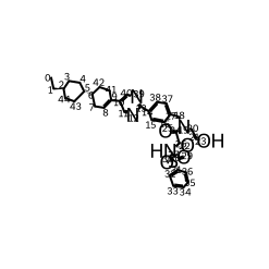 CC[C@H]1CC[C@H](C2CC=C(c3cnc(-c4ccc(CN(CC(=O)O)C(=O)CNS(=O)(=O)c5ccccc5)cc4)nc3)CC2)CC1